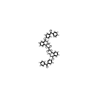 CN1CC(Oc2ccc(C(=O)c3ccccc3)cc2)c2ccccc2C1OC(=O)C(=O)OC1c2ccccc2C(Oc2ccc(C(=O)c3ccccc3)cc2)CN1C